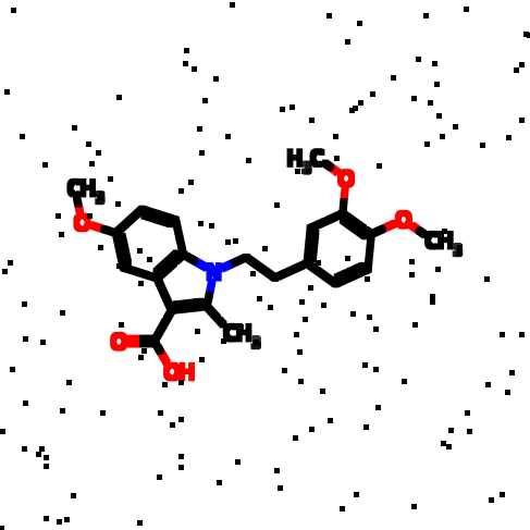 COc1ccc2c(c1)c(C(=O)O)c(C)n2CCc1ccc(OC)c(OC)c1